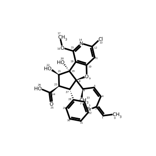 C/C=C(Br)\C=C/[C@@H](C)[C@@]12Oc3cc(Cl)nc(OC)c3[C@]1(O)[C@H](O)[C@H](C(=O)O)[C@H]2c1ccccc1